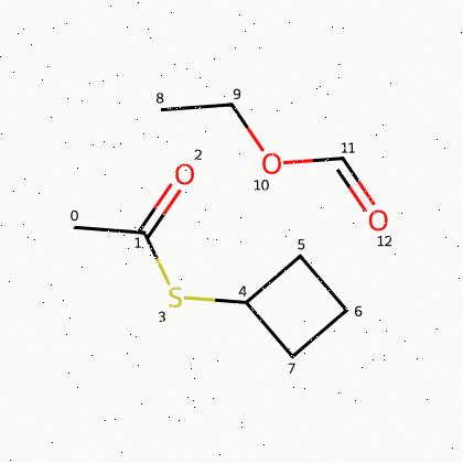 CC(=O)SC1CCC1.CCOC=O